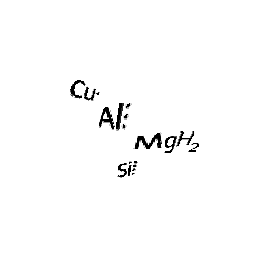 [Al].[Cu].[MgH2].[Si]